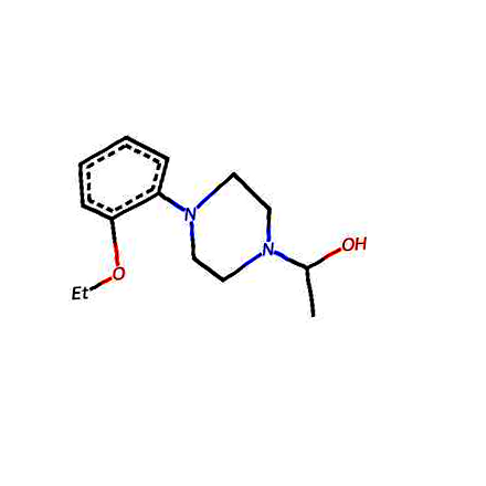 CCOc1ccccc1N1CCN(C(C)O)CC1